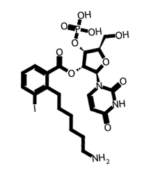 NCCCCCCc1c(I)cccc1C(=O)O[C@@H]1[C@H](OP(=O)(O)O)[C@@H](CO)O[C@H]1n1ccc(=O)[nH]c1=O